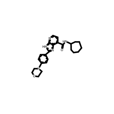 O=C(NC1CCCCCC1)c1ccnc2[nH]c(-c3ccc(N4CCOCC4)cc3)nc12